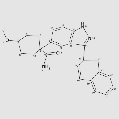 COC1CCC(C(N)=O)(c2ccc3[nH]nc(-c4ccc5ccccc5c4)c3c2)CC1